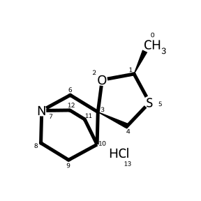 C[C@@H]1O[C@@]2(CS1)CN1CCC2CC1.Cl